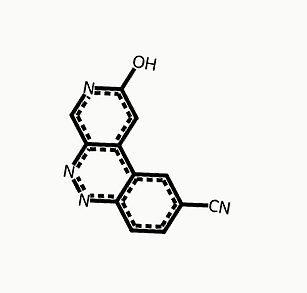 N#Cc1ccc2nnc3cnc(O)cc3c2c1